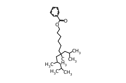 CC(C)CC(C)CC(C)(CCCCCCOC(=O)c1ccccc1)CC(C)C